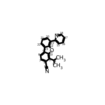 CC(C)c1c(C#N)ccc2c1oc1c(-c3ccccn3)cccc12